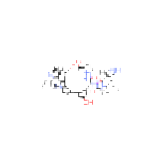 CCn1c(-c2cccnc2[C@H](C)OC)c2c3cc(ccc31)-c1cc(O)cc(c1)C[C@H](NC(=O)C(C(C)C)N(C)C(=O)[C@H]1[C@@H]3CNC[C@@H]31)C(=O)N1CCC[C@H](N1)C(=O)OCC(C)(C)C2